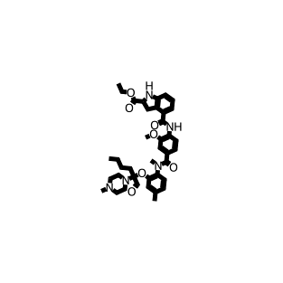 CCCCC(C=O)(Oc1cc(C)ccc1N(C)C(=O)c1ccc(NC(=O)c2cccc3c2CC(C(=O)OCC)N3)c(OC)c1)N1CCN(C)CC1